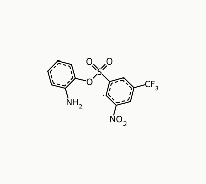 Nc1ccccc1OS(=O)(=O)c1[c]c([N+](=O)[O-])cc(C(F)(F)F)c1